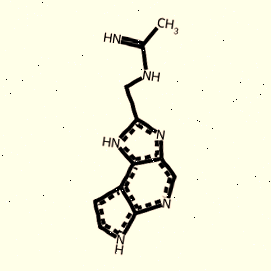 CC(=N)NCc1nc2cnc3[nH]ccc3c2[nH]1